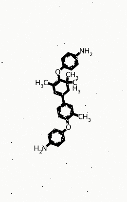 CC1=C(Oc2ccc(N)cc2)C(C)(C)CC(c2ccc(Oc3ccc(N)cc3)c(C)c2)=C1